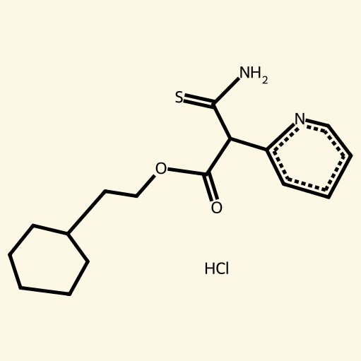 Cl.NC(=S)C(C(=O)OCCC1CCCCC1)c1ccccn1